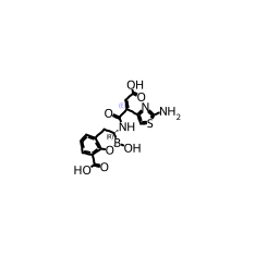 Nc1nc(/C(=C\C(=O)O)C(=O)N[C@H]2Cc3cccc(C(=O)O)c3OB2O)cs1